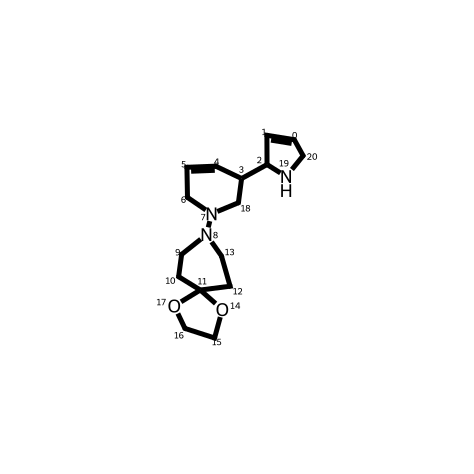 C1=CC(C2C=CCN(N3CCC4(CC3)OCCO4)C2)NC1